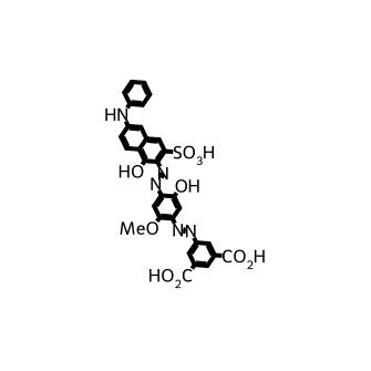 COc1cc(N=Nc2c(S(=O)(=O)O)cc3cc(Nc4ccccc4)ccc3c2O)c(O)cc1N=Nc1cc(C(=O)O)cc(C(=O)O)c1